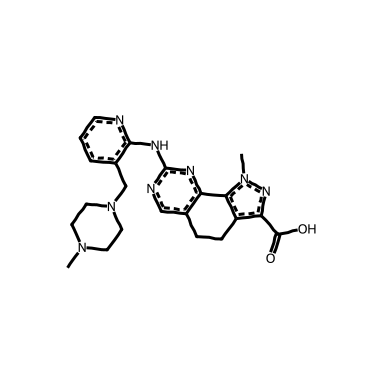 CN1CCN(Cc2cccnc2Nc2ncc3c(n2)-c2c(c(C(=O)O)nn2C)CC3)CC1